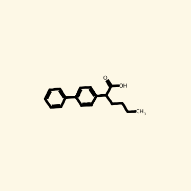 CCCCC(C(=O)O)c1ccc(-c2ccccc2)cc1